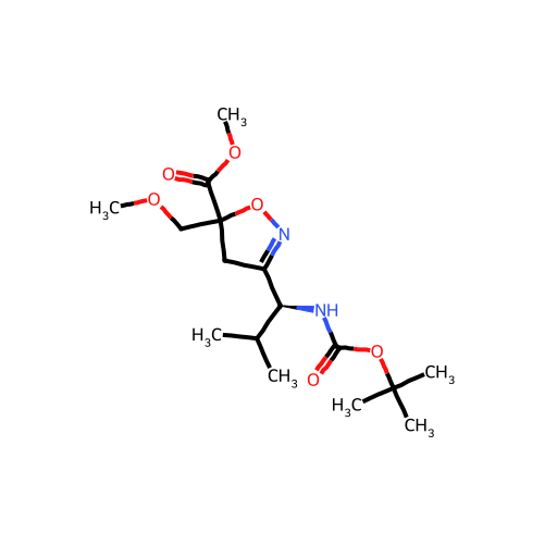 COCC1(C(=O)OC)CC([C@@H](NC(=O)OC(C)(C)C)C(C)C)=NO1